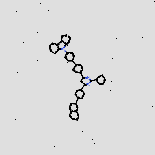 c1ccc(-c2nc(-c3ccc(-c4ccc(-n5c6ccccc6c6ccccc65)cc4)cc3)cc(-c3ccc(-c4ccc5ccccc5c4)cc3)n2)cc1